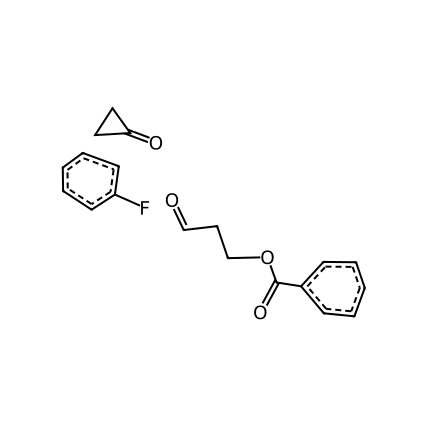 Fc1ccccc1.O=C1CC1.O=CCCOC(=O)c1ccccc1